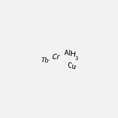 [AlH3].[Cr].[Cu].[Tb]